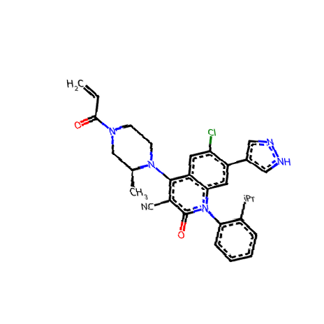 C=CC(=O)N1CCN(c2c(C#N)c(=O)n(-c3ccccc3C(C)C)c3cc(-c4cn[nH]c4)c(Cl)cc23)[C@@H](C)C1